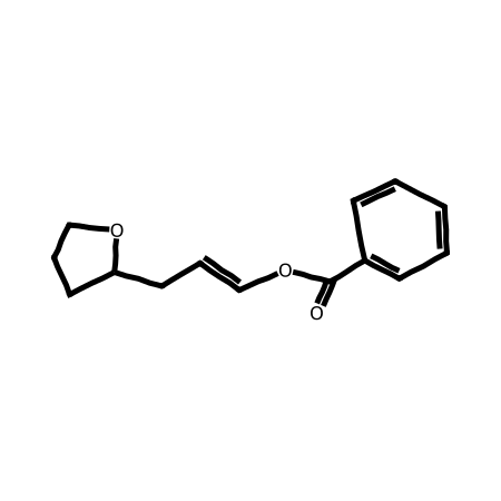 O=C(OC=CCC1CCCO1)c1ccccc1